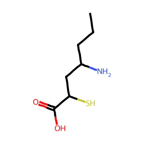 CCCC(N)CC(S)C(=O)O